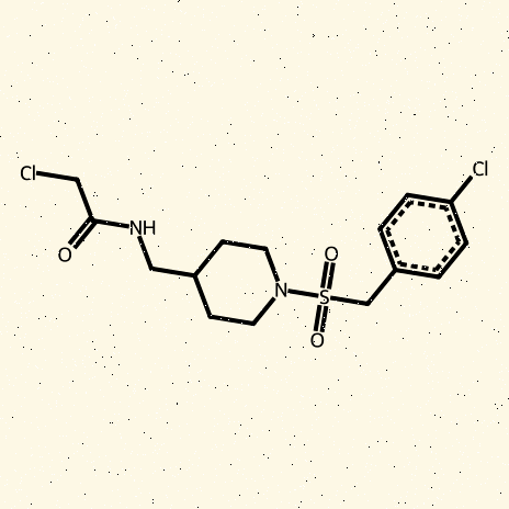 O=C(CCl)NCC1CCN(S(=O)(=O)Cc2ccc(Cl)cc2)CC1